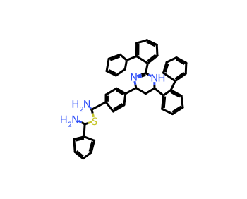 NC(SC(N)c1ccc(C2CC(c3ccccc3-c3ccccc3)NC(c3ccccc3C3C=CC=CC3)=N2)cc1)c1ccccc1